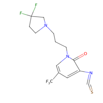 O=c1c(N=C=S)cc(C(F)(F)F)cn1CCCN1CCC(F)(F)C1